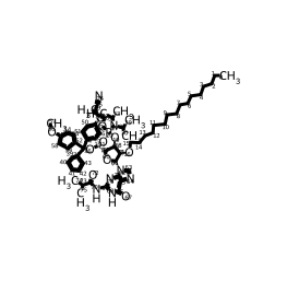 CCCCCCCCCCCCCCCCO[C@@H]1[C@H](OP(=O)(OCCC#N)N(C(C)C)C(C)C)[C@@H](COC(c2ccccc2)(c2ccc(OC)cc2)c2ccc(OC)cc2)O[C@H]1n1cnc2c(=O)[nH]c(NC(=O)C(C)C)nc21